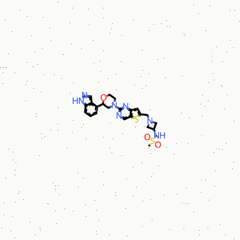 CS(=O)(=O)NC1CN(Cc2cc3nc(N4CCOC(c5cccc6[nH]ncc56)C4)ncc3s2)C1